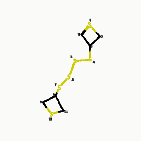 C1SCC1SSSSC1CSC1